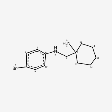 NC1(CNc2ccc(Br)cc2)CCCCC1